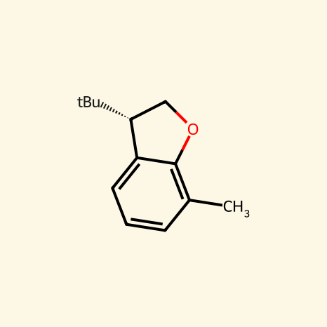 Cc1cccc2c1OC[C@H]2C(C)(C)C